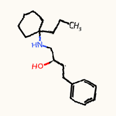 CCCC1(NC[C@H](O)[CH]Cc2ccccc2)CCCCC1